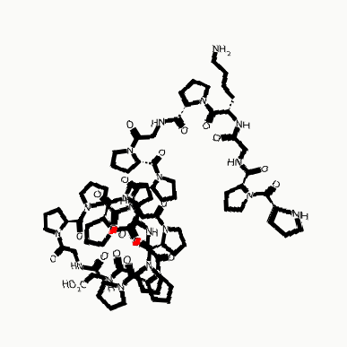 NCCCC[C@H](NC(=O)CNC(=O)[C@@H]1CCCN1C(=O)[C@@H]1CCCN1)C(=O)N1CCC[C@H]1C(=O)NCC(=O)N1CCC[C@H]1C(=O)N1CCC[C@H]1C(=O)NCC(=O)N1CCC[C@H]1C(=O)N1CCC[C@H]1C(=O)NCC(=O)N1CCC[C@H]1C(=O)N1CCC[C@H]1C(=O)NCC(=O)N1CCC[C@H]1C(=O)N1CCC[C@H]1C(=O)NCC(=O)N1CCC[C@H]1C(=O)N1CCC[C@H]1C(=O)NCC(=O)O